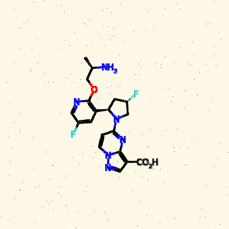 C[C@@H](N)COc1ncc(F)cc1[C@H]1C[C@H](F)CN1c1ccn2ncc(C(=O)O)c2n1